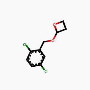 Clc1ccc(Cl)c(COC2CCO2)c1